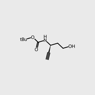 C#C[C@H](CCO)NC(=O)OC(C)(C)C